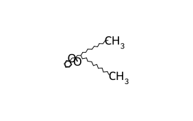 CCCCCCCCCCCCC(CCCCCCCCCC)CC(=O)Oc1ccccc1